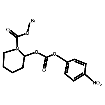 CC(C)(C)OC(=O)N1CCCCC1OC(=O)Oc1ccc([N+](=O)[O-])cc1